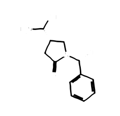 CC(N)[C@H]1CC(=O)N([C@H](C)c2ccccc2)C1